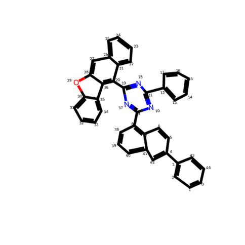 c1ccc(-c2ccc3c(-c4nc(-c5ccccc5)nc(-c5c6ccccc6cc6oc7ccccc7c56)n4)cccc3c2)cc1